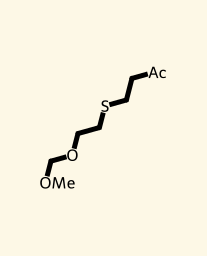 COCOCCSCCC(C)=O